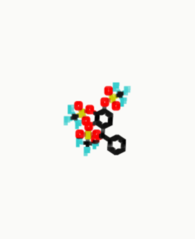 O=C(c1ccccc1)c1ccc(OS(=O)(=O)C(F)(F)F)c(OS(=O)(=O)C(F)(F)F)c1OS(=O)(=O)C(F)(F)F